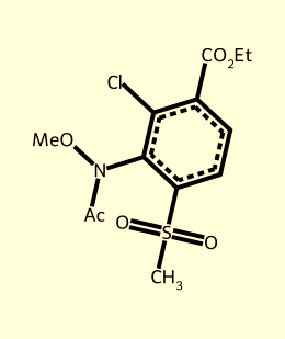 CCOC(=O)c1ccc(S(C)(=O)=O)c(N(OC)C(C)=O)c1Cl